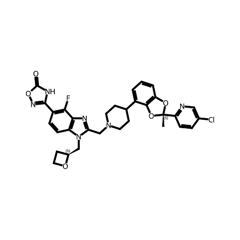 C[C@]1(c2ccc(Cl)cn2)Oc2cccc(C3CCN(Cc4nc5c(F)c(-c6noc(=O)[nH]6)ccc5n4C[C@@H]4CCO4)CC3)c2O1